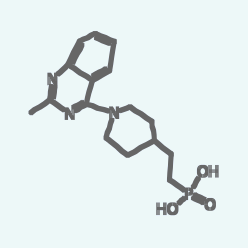 Cc1nc(N2CCC(CCP(=O)(O)O)CC2)c2ccccc2n1